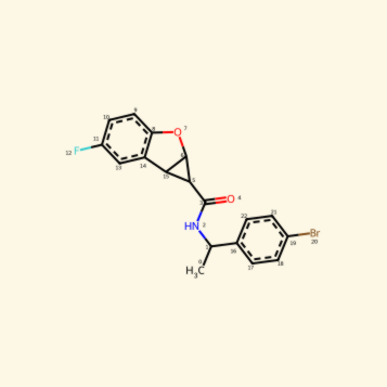 CC(NC(=O)C1C2Oc3ccc(F)cc3C21)c1ccc(Br)cc1